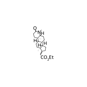 CCOC(=O)C=C1CC[C@H]2[C@@H]3CC[C@H]4N(C)C(=O)CC[C@]4(C)[C@H]3CC[C@]12C